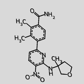 Cc1c(C(N)=O)ccc(-c2ccc([N+](=O)[O-])c(NC3(C)CCOC3)n2)c1C